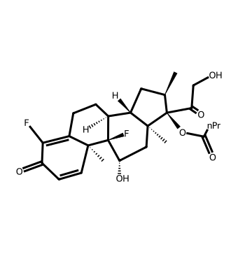 CCCC(=O)O[C@]1(C(=O)CO)[C@H](C)C[C@H]2[C@@H]3CCC4=C(F)C(=O)C=C[C@]4(C)[C@@]3(F)[C@@H](O)C[C@@]21C